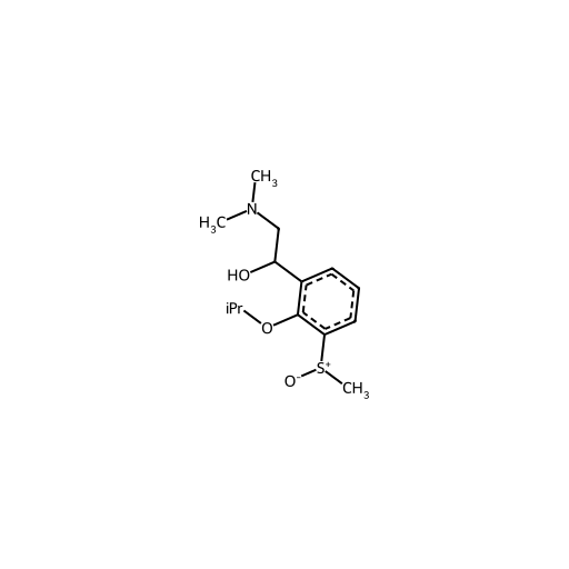 CC(C)Oc1c(C(O)CN(C)C)cccc1[S+](C)[O-]